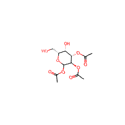 CC(=O)OC1O[C@H](CO)[C@H](O)[C@H](OC(C)=O)[C@H]1OC(C)=O